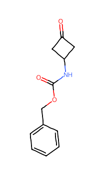 O=C1CC(NC(=O)OCc2ccccc2)C1